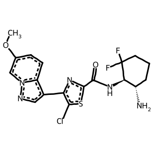 COc1ccc2c(-c3nc(C(=O)N[C@@H]4[C@@H](N)CCCC4(F)F)sc3Cl)cnn2c1